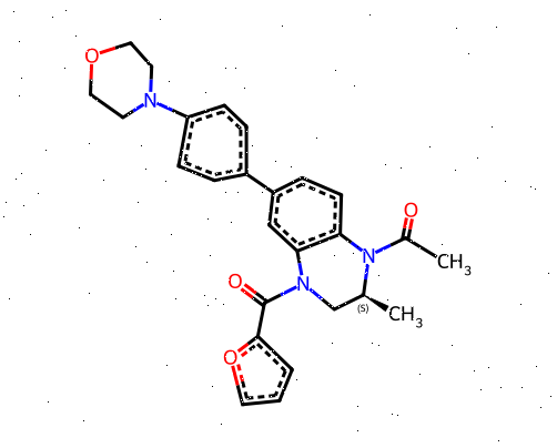 CC(=O)N1c2ccc(-c3ccc(N4CCOCC4)cc3)cc2N(C(=O)c2ccco2)C[C@@H]1C